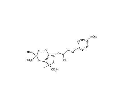 CCCCCCCCc1ccc(OCC(O)CN2CC(C)(C(=O)O)C3=C2C=CC(C(=O)O)(C(C)(C)C)C3)cc1